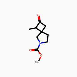 CC1C(=O)CC12CCN(C(=O)OC(C)(C)C)C2